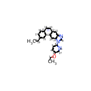 CCOc1ccc(-n2cnc3cc(/C=C\c4ccc(CC)cc4)ccc32)nc1